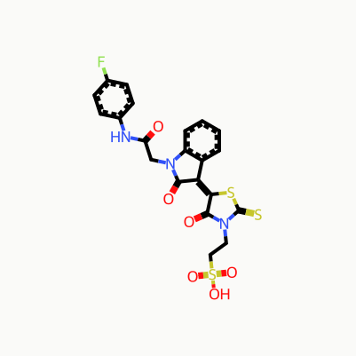 O=C(CN1C(=O)C(=C2SC(=S)N(CCS(=O)(=O)O)C2=O)c2ccccc21)Nc1ccc(F)cc1